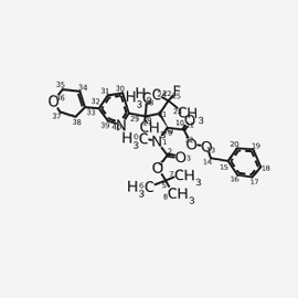 CN(C(=O)OC(C)(C)C)[C@H](C(=O)OOCc1ccccc1)C(C(C)(C)F)C(C)(C)c1ccc(C2=CCOCC2)cn1